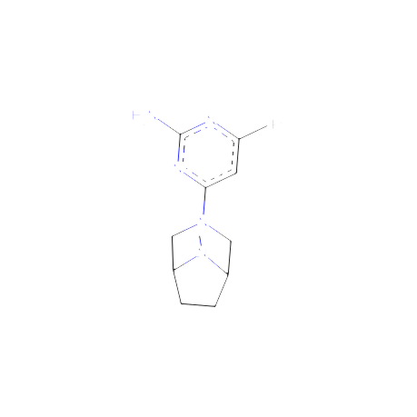 CC(C)c1cc(N2CC3CCC(C2)N3C)nc(N)n1